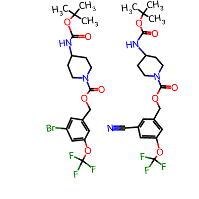 CC(C)(C)OC(=O)NC1CCN(C(=O)OCc2cc(Br)cc(OC(F)(F)F)c2)CC1.CC(C)(C)OC(=O)NC1CCN(C(=O)OCc2cc(C#N)cc(OC(F)(F)F)c2)CC1